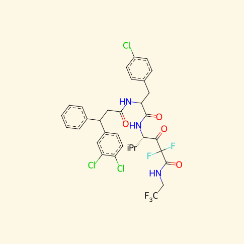 CC(C)[C@H](NC(=O)C(Cc1ccc(Cl)cc1)NC(=O)CC(c1ccccc1)c1ccc(Cl)c(Cl)c1)C(=O)C(F)(F)C(=O)NCC(F)(F)F